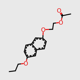 CCCOc1ccc2cc(OCCOC(C)=O)ccc2c1